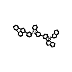 c1cc(-c2ccc3c4c(cccc24)-c2ccccc2-3)cc(-n2c3ccccc3c3cc(-c4ccc5c(c4)c4ccc6ccccc6c4n5-c4ccc5ccccc5c4)ccc32)c1